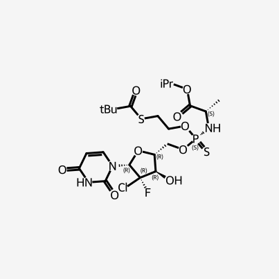 CC(C)OC(=O)[C@H](C)N[P@@](=S)(OCCSC(=O)C(C)(C)C)OC[C@H]1O[C@@H](n2ccc(=O)[nH]c2=O)[C@](F)(Cl)[C@@H]1O